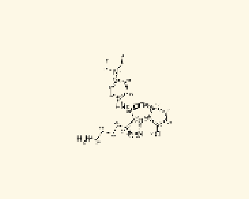 CCN(CC)c1ccc(NC(=O)c2c(-c3c(Cl)cccc3Cl)noc2CCCCN)cc1